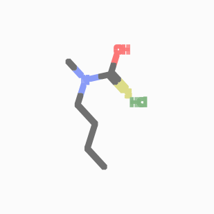 CCCCN(C)C(O)=S.Cl